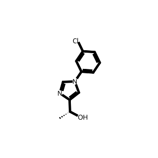 C[C@@H](O)c1cn(-c2cccc(Cl)c2)cn1